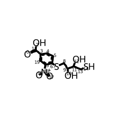 O=C(O)c1ccc(SCC(O)C(O)CS)c([N+](=O)[O-])c1